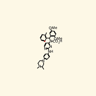 COc1ccc(OC)c(C(c2c(C)cccc2C)N(C(=O)O)c2ccnc(Nc3ccc(N4CCN(C)C(C)C4)cc3)n2)c1